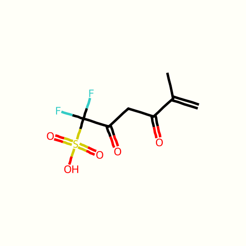 C=C(C)C(=O)CC(=O)C(F)(F)S(=O)(=O)O